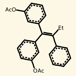 CCC(=C(c1cccc(OC(C)=O)c1)c1cccc(OC(C)=O)c1)c1ccccc1